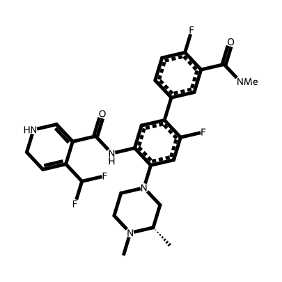 CNC(=O)c1cc(-c2cc(NC(=O)C3=CNCC=C3C(F)F)c(N3CCN(C)[C@@H](C)C3)cc2F)ccc1F